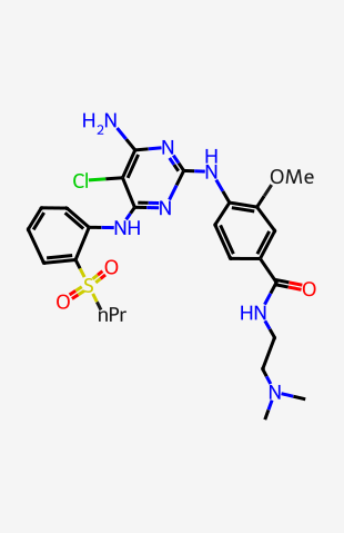 CCCS(=O)(=O)c1ccccc1Nc1nc(Nc2ccc(C(=O)NCCN(C)C)cc2OC)nc(N)c1Cl